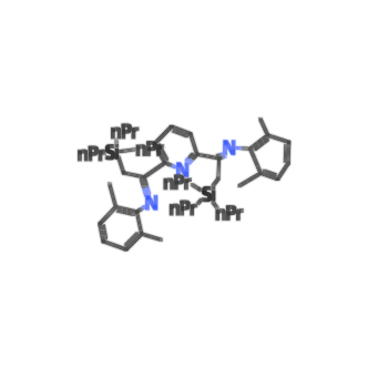 CCC[Si](CCC)(CCC)CC(=Nc1c(C)cccc1C)c1cccc(C(C[Si](CCC)(CCC)CCC)=Nc2c(C)cccc2C)n1